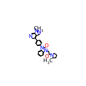 C[C@@H]1CCCN1C(=O)Cn1c(=O)n(-c2ccc(-c3cncc4c3cnn4C)cc2)c2ccccc21